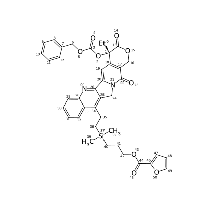 CC[C@@]1(OC(=O)OCc2ccccc2)C(=O)OCc2c1cc1n(c2=O)Cc2c-1nc1ccccc1c2CC[Si](C)(C)CCCOC(=O)c1ccco1